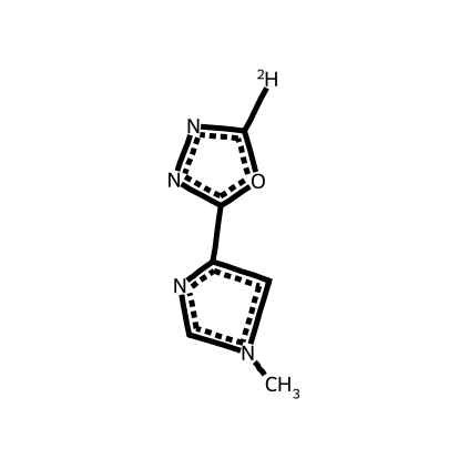 [2H]c1nnc(-c2cn(C)cn2)o1